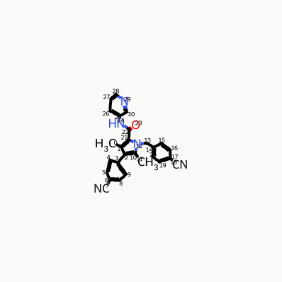 Cc1c(-c2ccc(C#N)cc2)c(C)n(Cc2ccc(C#N)cc2)c1C(=O)Nc1cccnc1